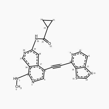 CNc1ncc(C#Cc2nccc3ncsc23)c2cc(NC(=O)C3CC3)ncc12